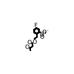 CC(=O)CC(=O)OCCc1ccc(F)cc1[N+](=O)[O-]